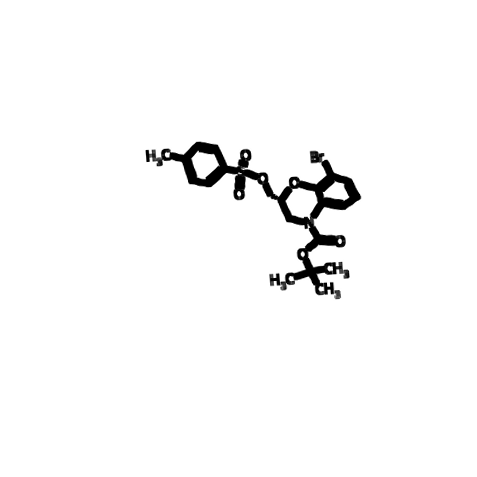 Cc1ccc(S(=O)(=O)OC[C@H]2CN(C(=O)OC(C)(C)C)c3cccc(Br)c3O2)cc1